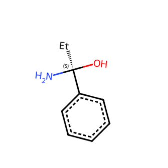 CC[C@](N)(O)c1ccccc1